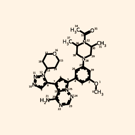 COc1cc(-c2cc(-c3cnnn3C3CCOCC3)c3c(N)ncnn23)cc(N2CC(C)N(C(C)=O)C(C)C2)c1